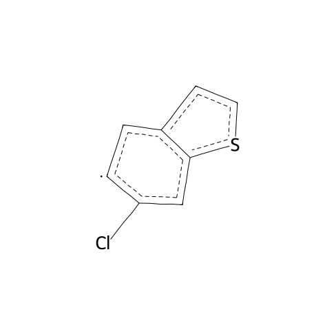 Clc1[c]cc2ccsc2c1